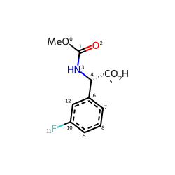 COC(=O)N[C@H](C(=O)O)c1cccc(F)c1